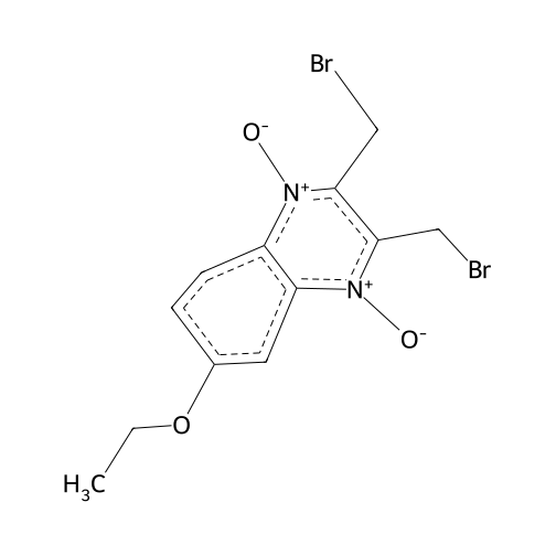 CCOc1ccc2c(c1)[n+]([O-])c(CBr)c(CBr)[n+]2[O-]